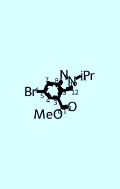 COC(=O)c1cc(Br)cc2nn(C(C)C)cc12